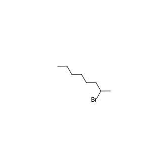 CCCCCCC(C)Br